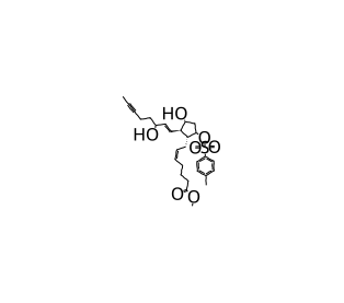 CC#CCC[C@H](O)/C=C/[C@@H]1[C@@H](C/C=C\CCCC(=O)OC)[C@H](OS(=O)(=O)c2ccc(C)cc2)C[C@H]1O